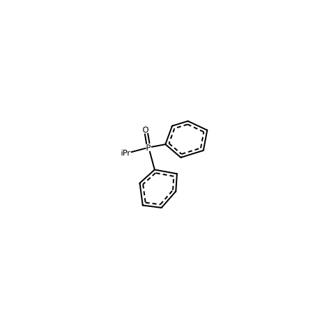 CC(C)P(=O)(c1ccccc1)c1ccccc1